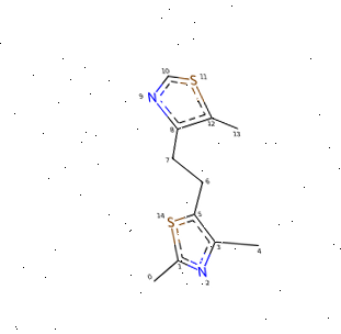 Cc1nc(C)c(CCc2ncsc2C)s1